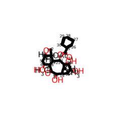 CC(=O)O[C@@]12CO[C@@H]1C[C@H](O)[C@@]1(C)C(=O)[C@H](O)C3C[C@@H](O)C[C@@](O)([C@@H](OC(=O)c4ccccc4)[C@H]21)C3(C)C